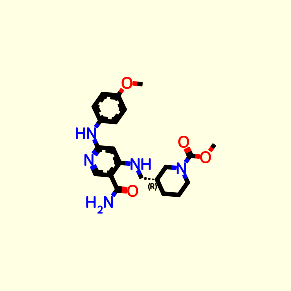 COC(=O)N1CCC[C@H](CNc2cc(Nc3ccc(OC)cc3)ncc2C(N)=O)C1